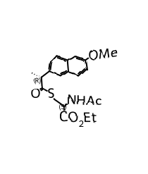 CCOC(=O)[C@@H](CSC(=O)[C@H](C)c1ccc2cc(OC)ccc2c1)NC(C)=O